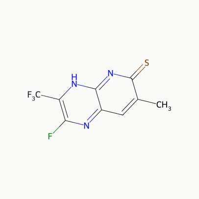 Cc1cc2nc(F)c(C(F)(F)F)[nH]c-2nc1=S